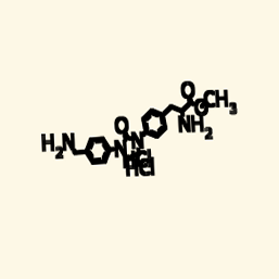 COC(=O)C(N)Cc1ccc(N2CCN(c3ccc(CN)cc3)C2=O)cc1.Cl.Cl